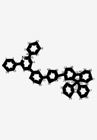 c1ccc(-c2cc(-c3cccc(-c4ccc(-c5ccc6c(c5)C(c5ccccc5)(c5ccccc5)c5ccccc5-6)cc4)c3)cc(-c3ccccc3)n2)cc1